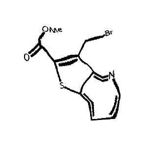 COC(=O)c1sc2cccnc2c1CBr